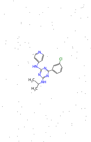 CC(C)Nc1nc(Nc2ccncc2)nc(-c2cccc(Cl)c2)n1